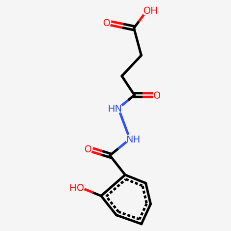 O=C(O)CCC(=O)NNC(=O)c1ccccc1O